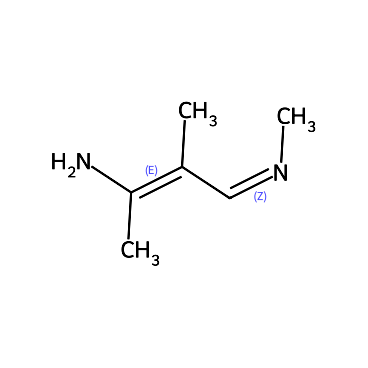 C/N=C\C(C)=C(/C)N